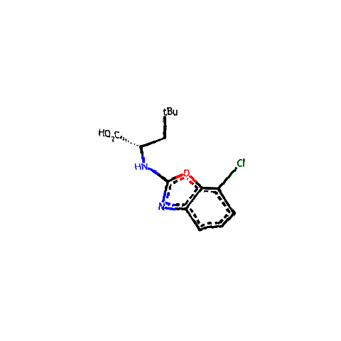 CC(C)(C)C[C@H](Nc1nc2cccc(Cl)c2o1)C(=O)O